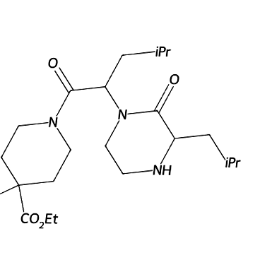 CCOC(=O)C1(C)CCN(C(=O)C(CC(C)C)N2CCNC(CC(C)C)C2=O)CC1